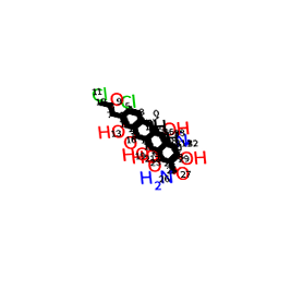 C[C@H]1c2cc(Cl)c(CC(=O)CCl)c(O)c2C(=O)C2=C(O)[C@]3(O)C(=O)C(C(N)=O)=C(O)[C@H](N(C)C)[C@@H]3[C@@H](O)[C@@H]21